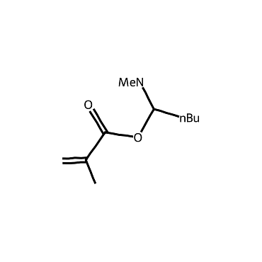 C=C(C)C(=O)OC(CCCC)NC